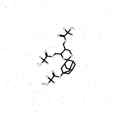 O=C(OCC1COC2(OC1COC(=O)C(F)(F)C(F)(F)F)C1CC3CC2CC(OC(=O)C(F)(F)S(=O)(=O)O)(C3)C1)C(F)(F)C(F)(F)F